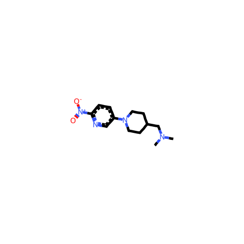 CN(C)CC1CCN(c2ccc([N+](=O)[O-])nc2)CC1